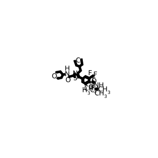 Cc1cc(-c2sc(C(=O)NC3CCOCC3)nc2CC2CCCCC2)cc(C(F)(F)F)c1S(=O)(=O)NC(C)(C)C